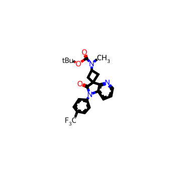 CN(C(=O)OC(C)(C)C)C1CC2(C1)C(=O)N(c1ccc(C(F)(F)F)cc1)c1cccnc12